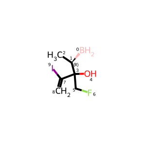 B[C@H](C)C(O)(CF)C(=C)I